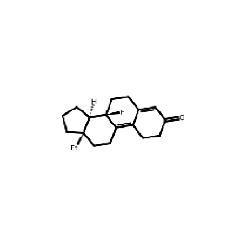 CC[C@@]12CCC[C@H]1[C@@H]1CCC3=CC(=O)CCC3=C1CC2